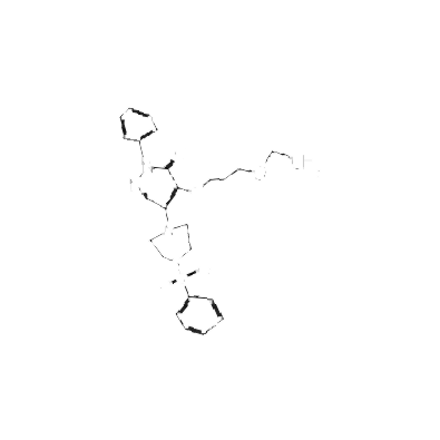 CCOCCCOc1c(N2CCN(S(=O)(=O)c3ccccc3)CC2)cnn(-c2ccccc2)c1=O